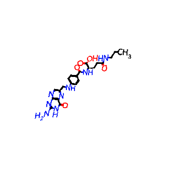 CCCNC(=O)CC[C@@H](NC(=O)c1ccc(NCc2cnc3nc(N)[nH]c(=O)c3n2)cc1)C(=O)O